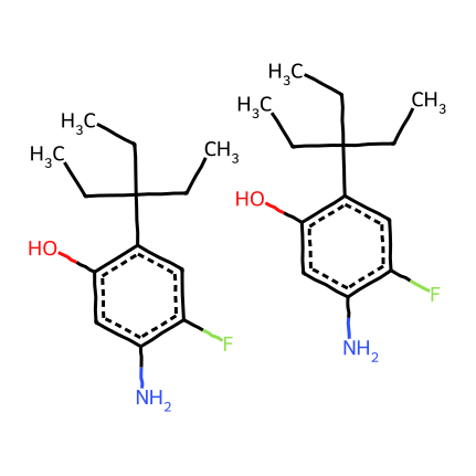 CCC(CC)(CC)c1cc(F)c(N)cc1O.CCC(CC)(CC)c1cc(F)c(N)cc1O